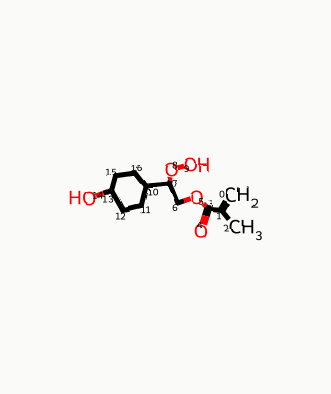 C=C(C)C(=O)OCC(OO)C1CCC(O)CC1